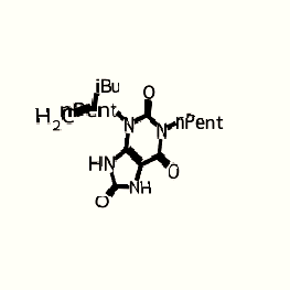 C=CC(C)CC.CCCCCn1c(=O)c2[nH]c(=O)[nH]c2n(CCCCC)c1=O